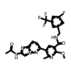 COc1nc(C)c(-c2ccc3nc(NC(C)=O)cn3n2)cc1C(=O)NCc1cc(F)cc(C(F)(F)F)c1